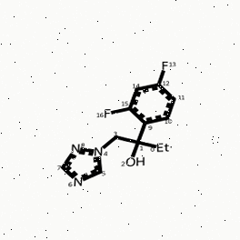 C[CH]C(O)(Cn1cncn1)c1ccc(F)cc1F